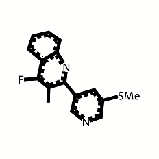 CSc1cncc(-c2nc3ccccc3c(F)c2C)c1